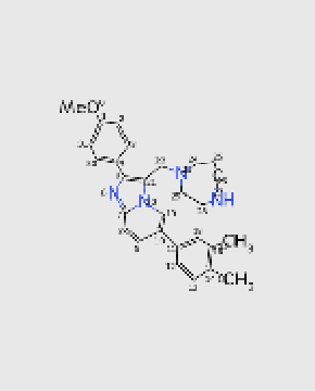 COc1ccc(-c2nc3ccc(-c4ccc(C)c(C)c4)cn3c2CN2CCCNCC2)cc1